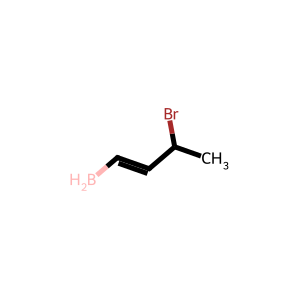 BC=CC(C)Br